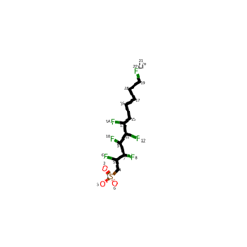 O=S(=O)([O-])CC(F)C(F)C(F)C(F)C(F)CCCCCF.[Li+]